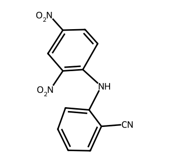 N#Cc1ccccc1Nc1ccc([N+](=O)[O-])cc1[N+](=O)[O-]